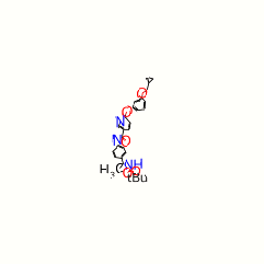 CC(NC(=O)OC(C)(C)C)c1ccc2nc(-c3ccc(Oc4cccc(OCC5CC5)c4)nc3)oc2c1